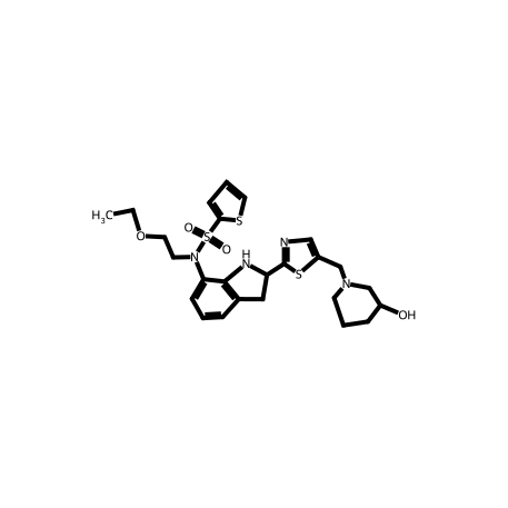 CCOCCN(c1cccc2c1NC(c1ncc(CN3CCCC(O)C3)s1)C2)S(=O)(=O)c1cccs1